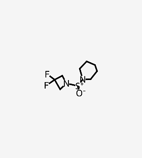 [O-][S+](N1CCCCC1)N1CC(F)(F)C1